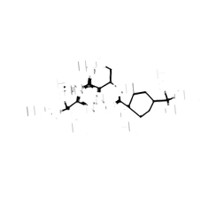 CCC(NC(=O)C1(C)CCC(C(C)(C)C)CC1)c1nnc(C(C)(C)OC)[nH]c1=O